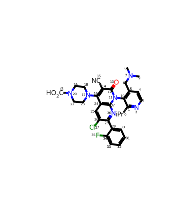 CC(C)c1nccc(CN(C)C)c1-n1c(=O)c(C#N)c(N2CCN(C(=O)O)CC2)c2cc(Cl)c(-c3ccccc3F)nc21